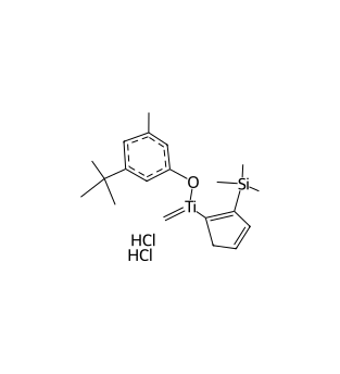 Cl.Cl.[CH2]=[Ti]([O]c1cc(C)cc(C(C)(C)C)c1)[C]1=C([Si](C)(C)C)C=CC1